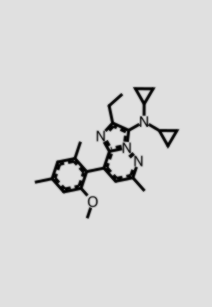 CCc1nc2c(-c3c(C)cc(C)cc3OC)cc(C)nn2c1N(C1CC1)C1CC1